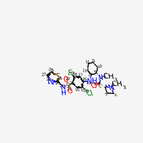 CN1CC[C@@H]1C(=O)N(C)[C@H]1CCCC[C@@H]1Nc1cc(F)c(S(=O)(=O)Nc2nccs2)cc1Cl